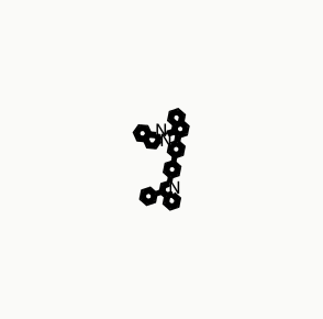 c1ccc(-c2cc(-c3ccc(-c4ccc5c6ccc7ccccc7c6c6nc7c8ccccc8ccc7n6c5c4)cc3)nc3ccccc23)cc1